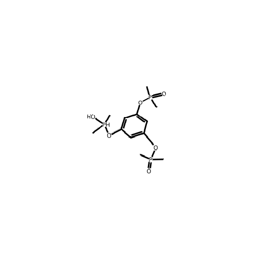 CP(C)(=O)Oc1cc(OP(C)(C)=O)cc(O[PH](C)(C)O)c1